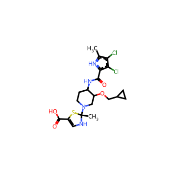 Cc1[nH]c(C(=O)NC2CCN(C3(C)NC=C(C(=O)O)S3)CC2OCC2CC2)c(Cl)c1Cl